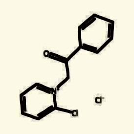 O=C(C[n+]1ccccc1Cl)c1ccccc1.[Cl-]